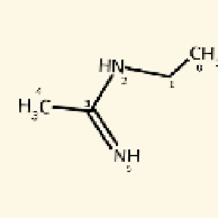 CCNC(C)=N